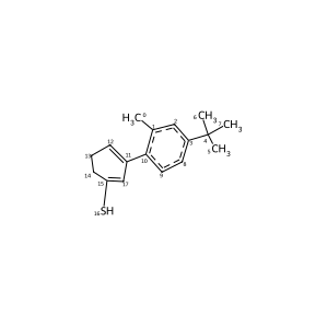 Cc1cc(C(C)(C)C)ccc1C1=CCCC(S)=C1